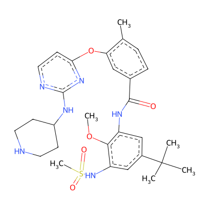 COc1c(NC(=O)c2ccc(C)c(Oc3ccnc(NC4CCNCC4)n3)c2)cc(C(C)(C)C)cc1NS(C)(=O)=O